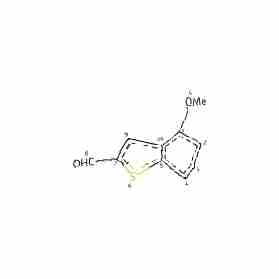 COc1cccc2sc(C=O)cc12